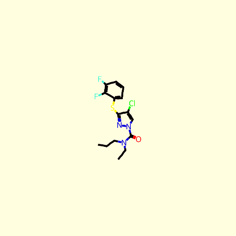 CCCN(CC)C(=O)n1cc(Cl)c(Sc2cccc(F)c2F)n1